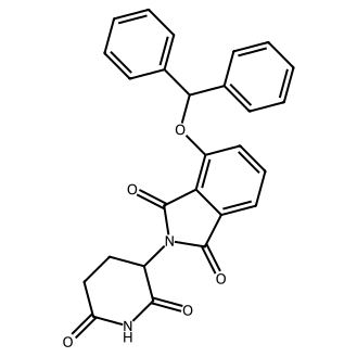 O=C1CCC(N2C(=O)c3cccc(OC(c4ccccc4)c4ccccc4)c3C2=O)C(=O)N1